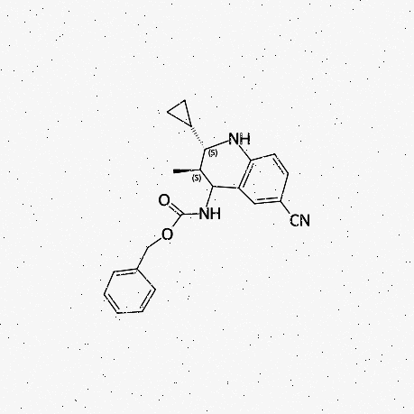 C[C@@H]1C(NC(=O)OCc2ccccc2)c2cc(C#N)ccc2N[C@H]1C1CC1